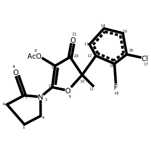 CC(=O)OC1=C(N2CCCC2=O)OC(C)(c2cccc(Cl)c2F)C1=O